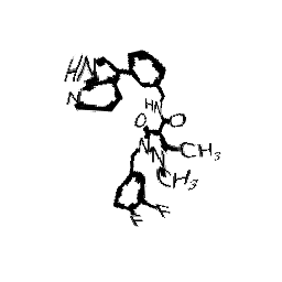 Cc1c(C(=O)NCc2cccc(-c3c[nH]c4ncccc34)c2)c(=O)n(Cc2ccc(F)c(F)c2)n1C